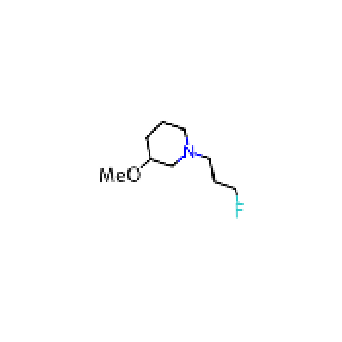 COC1CCCN(CCCF)C1